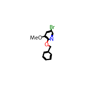 COc1cc(Br)cnc1OCc1ccccc1